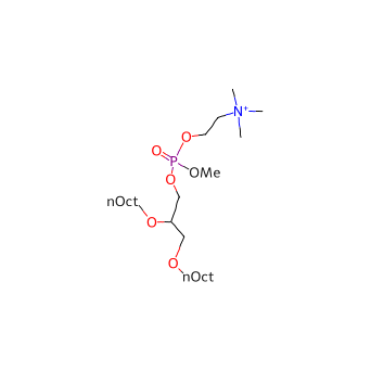 CCCCCCCCOCC(COP(=O)(OC)OCC[N+](C)(C)C)OCCCCCCCC